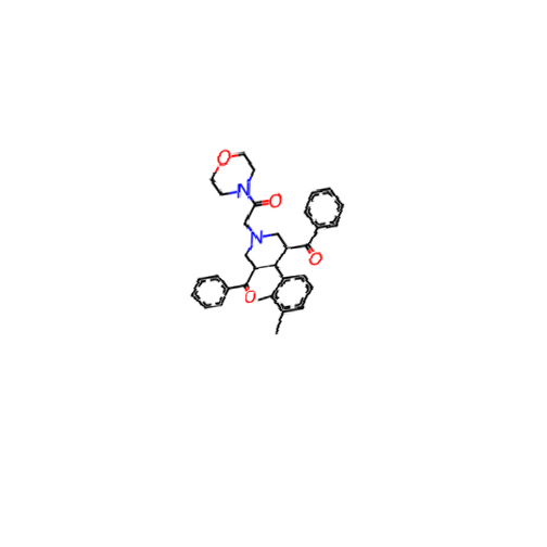 Cc1cccc(C2C(C(=O)c3ccccc3)CN(CC(=O)N3CCOCC3)CC2C(=O)c2ccccc2)c1C